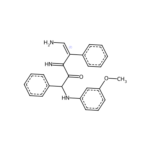 COc1cccc(NC(C(=O)C(=N)/C(=C\N)c2ccccc2)c2ccccc2)c1